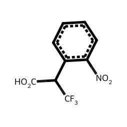 O=C(O)C(c1ccccc1[N+](=O)[O-])C(F)(F)F